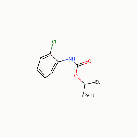 CCCCCC(CC)OC(=O)Nc1ccccc1Cl